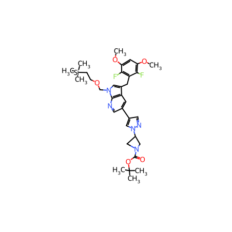 COc1cc(OC)c(F)c(Cc2cn(COCC[Si](C)(C)C)c3ncc(-c4cnn(C5CN(C(=O)OC(C)(C)C)C5)c4)cc23)c1F